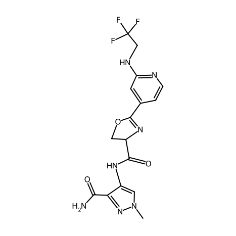 Cn1cc(NC(=O)C2COC(c3ccnc(NCC(F)(F)F)c3)=N2)c(C(N)=O)n1